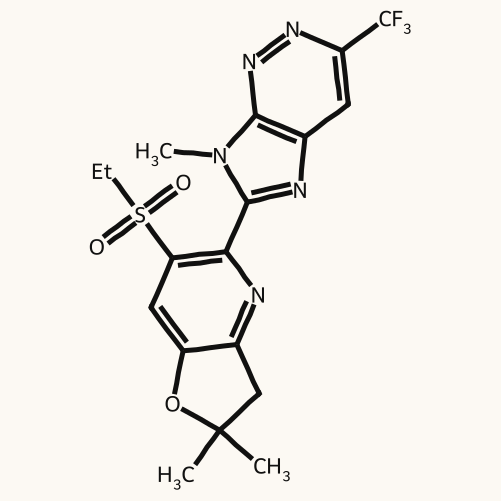 CCS(=O)(=O)c1cc2c(nc1-c1nc3cc(C(F)(F)F)nnc3n1C)CC(C)(C)O2